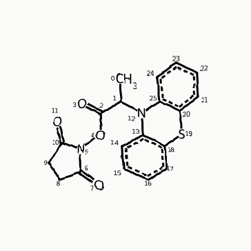 CC(C(=O)ON1C(=O)CCC1=O)N1c2ccccc2Sc2ccccc21